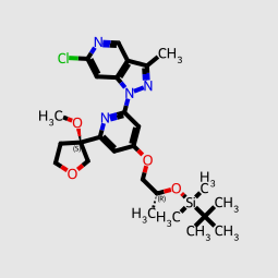 CO[C@]1(c2cc(OC[C@@H](C)O[Si](C)(C)C(C)(C)C)cc(-n3nc(C)c4cnc(Cl)cc43)n2)CCOC1